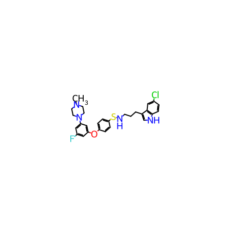 CN1CCN(c2cc(F)cc(Oc3ccc(SNCCCc4c[nH]c5ccc(Cl)cc45)cc3)c2)CC1